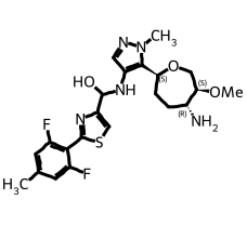 CO[C@@H]1CO[C@H](c2c(NC(O)c3csc(-c4c(F)cc(C)cc4F)n3)cnn2C)CC[C@H]1N